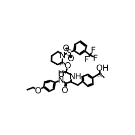 CCOc1ccc(NC(=O)C(Cc2ccc([C@H](C)O)cc2)NC(=O)O[C@H]2CCCCN2S(=O)(=O)c2cccc(C(F)(F)F)c2)cc1